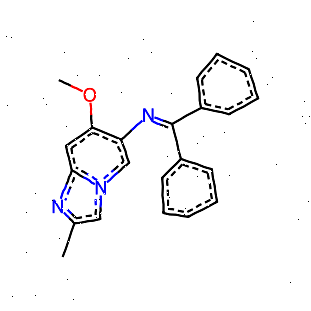 COc1cc2nc(C)cn2cc1N=C(c1ccccc1)c1ccccc1